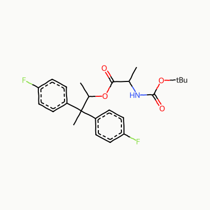 CC(NC(=O)OC(C)(C)C)C(=O)OC(C)C(C)(c1ccc(F)cc1)c1ccc(F)cc1